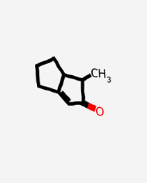 CC1C(=O)C=C2CCCC21